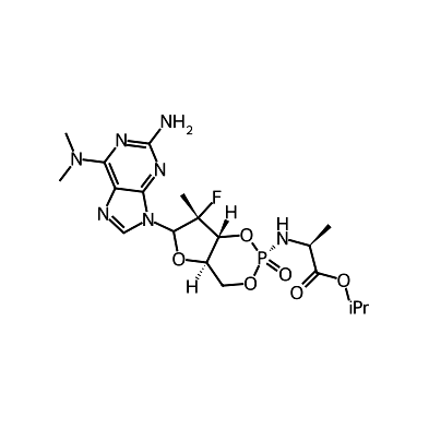 CC(C)OC(=O)[C@H](C)N[P@]1(=O)OC[C@H]2OC(n3cnc4c(N(C)C)nc(N)nc43)[C@](C)(F)[C@@H]2O1